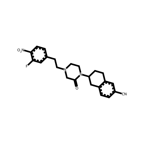 N#Cc1ccc2c(c1)CCC(N1CCN(CCc3ccc([N+](=O)[O-])c(F)c3)CC1=O)C2